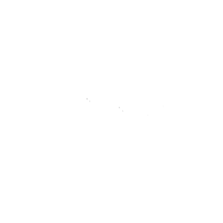 O=S1(=O)C(N2CCCCN(Cc3ccccc3)CC2)=Cc2ccccc21